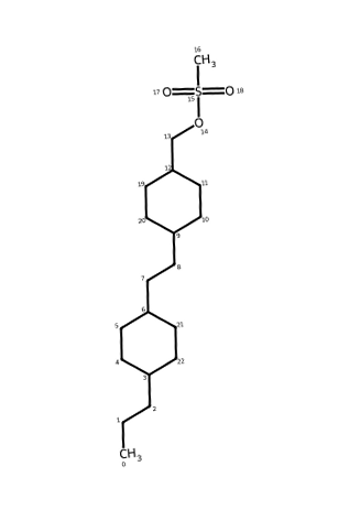 CCCC1CCC(CCC2CCC(COS(C)(=O)=O)CC2)CC1